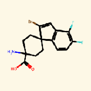 NC1(C(=O)O)CCC2(CC1)C(Br)=Cc1c2ccc(F)c1F